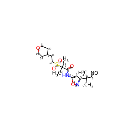 CC(C)(CN=O)c1cc(NC(=O)C(C)(C)S(=O)(=O)CCC2CCOCC2)on1